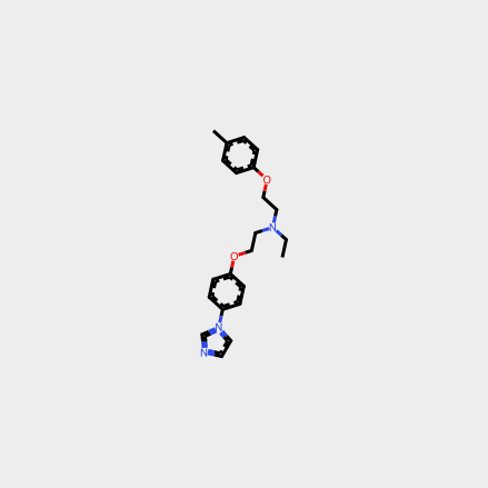 CCN(CCOc1ccc(C)cc1)CCOc1ccc(-n2ccnc2)cc1